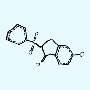 O=C1c2ccc(Cl)cc2CC1S(=O)(=O)c1ccccc1